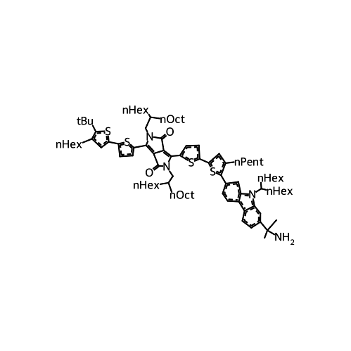 CCCCCCCCC(CCCCCC)CN1C(=O)C2=C(c3ccc(-c4cc(CCCCCC)c(C(C)(C)C)s4)s3)N(CC(CCCCCC)CCCCCCCC)C(=O)C2=C1c1ccc(-c2cc(CCCCC)c(-c3ccc4c5ccc(C(C)(C)N)cc5n(C(CCCCCC)CCCCCC)c4c3)s2)s1